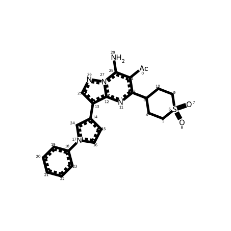 CC(=O)c1c(C2CCS(=O)(=O)CC2)nc2c(-c3ccn(-c4ccccc4)c3)cnn2c1N